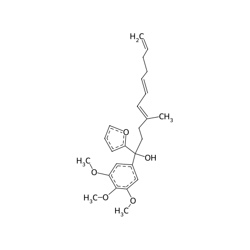 C=CCC/C=C/C=C(\C)CCC(O)(c1cc(OC)c(OC)c(OC)c1)c1ccco1